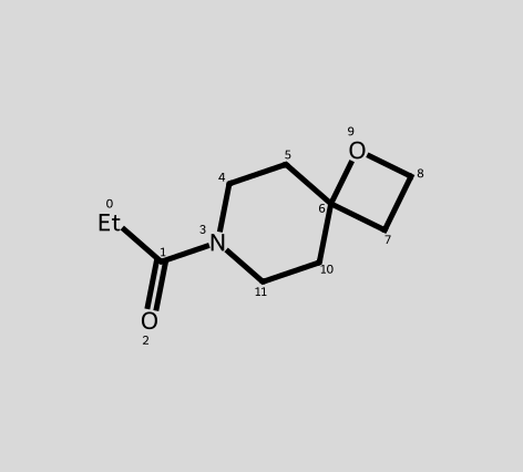 CCC(=O)N1CCC2(CCO2)CC1